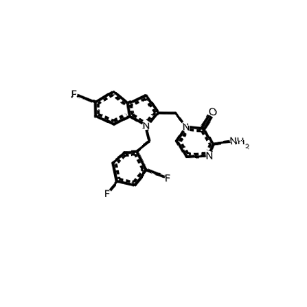 Nc1nccn(Cc2cc3cc(F)ccc3n2Cc2ccc(F)cc2F)c1=O